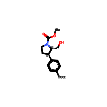 CCCCCCCCc1ccc([C@H]2CCN(C(=O)OC(C)(C)C)[C@@H]2CO)cc1